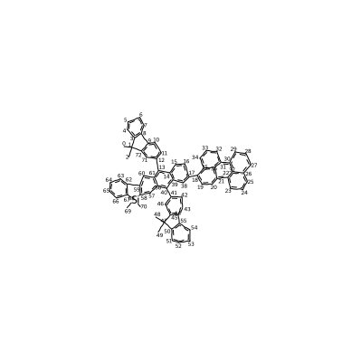 CC1(C)c2ccccc2-c2ccc(-c3c4ccc(-c5ccc6c7cccc8cccc(c9cccc5c96)c87)cc4c(-c4ccc5c(c4)C(C)(C)c4ccccc4-5)c4cc5c(cc34)-c3ccccc3[Si]5(C)C)cc21